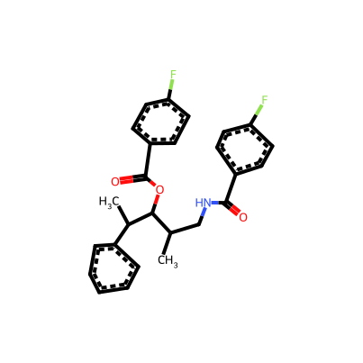 CC(CNC(=O)c1ccc(F)cc1)C(OC(=O)c1ccc(F)cc1)C(C)c1ccccc1